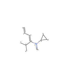 C=CC=C(C(C)C)[N+](=C)C1CC1